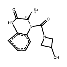 CC[C@H](C)[C@H]1C(=O)Nc2ccccc2N1C(=O)N1CC(O)C1